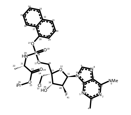 CNc1nc(C)nc2c1ncn2[C@@H]1O[C@](CCl)(COP(=O)(N[C@@H](C)C(=O)OC(C)C)Oc2cccc3ccccc23)[C@@H](O)[C@@H]1F